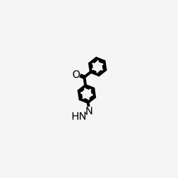 N=Nc1ccc(C(=O)c2ccccc2)cc1